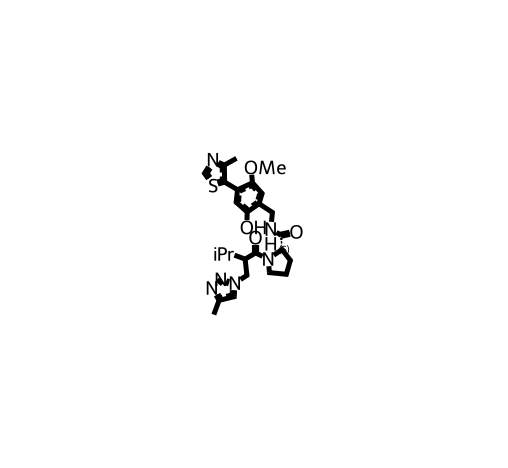 COc1cc(CNC(=O)[C@@H]2CCCN2C(=O)C(Cn2cc(C)nn2)C(C)C)c(O)cc1-c1scnc1C